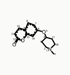 CN1CCC(Oc2ccc3ccc(=O)oc3c2)CC1